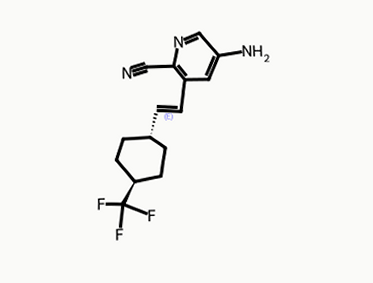 N#Cc1ncc(N)cc1/C=C/[C@H]1CC[C@H](C(F)(F)F)CC1